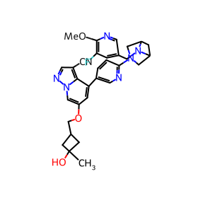 COc1ncc(CN2C3CC2CN(c2ccc(-c4cc(OCC5CC(C)(O)C5)cn5ncc(C#N)c45)cn2)C3)cc1F